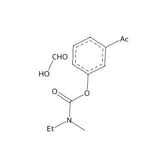 CCN(C)C(=O)Oc1cccc(C(C)=O)c1.O=CO